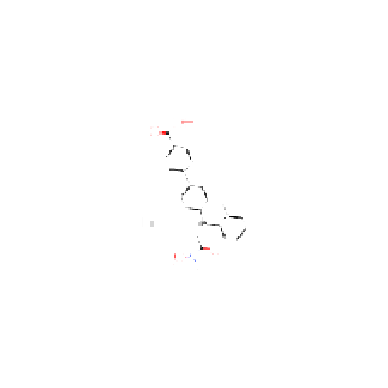 CON(C)C(=O)C[C@H](c1ccc(-c2ccc(C(=O)O)cc2)cc1)c1ccccc1C.[LiH]